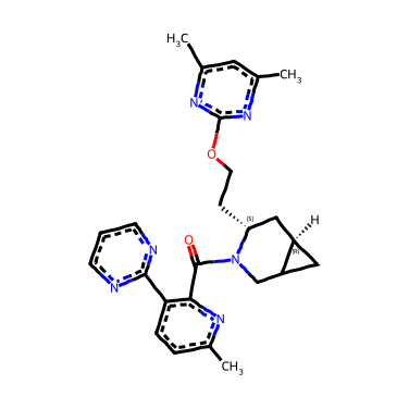 Cc1cc(C)nc(OCC[C@@H]2C[C@H]3CC3CN2C(=O)c2nc(C)ccc2-c2ncccn2)n1